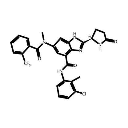 Cc1c(Cl)cccc1NC(=O)c1cc(N(C)C(=O)c2ccccc2C(F)(F)F)cc2[nH]c([C@H]3CCC(=O)N3)nc12